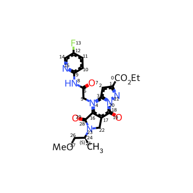 CCOC(=O)c1cc2n(CC(=O)Nc3ccc(F)cn3)c3c(c(=O)n2n1)CN([C@@H](C)COC)C3=O